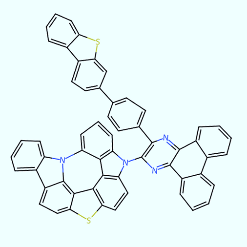 c1ccc2c(c1)sc1cc(-c3ccc(-c4nc5c6ccccc6c6ccccc6c5nc4-n4c5ccc6sc7ccc8c9ccccc9n9c%10cccc4c%10c5c6c7c89)cc3)ccc12